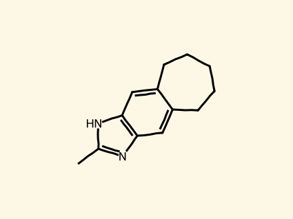 Cc1nc2cc3c(cc2[nH]1)CCCCC3